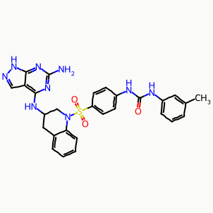 Cc1cccc(NC(=O)Nc2ccc(S(=O)(=O)N3CC(Nc4nc(N)nc5[nH]ncc45)Cc4ccccc43)cc2)c1